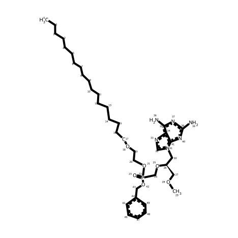 CCCCCCCCCCCCCCCCCCOCCOP(=O)(CO[C@H](COC)Cn1cnc2c(N)nc(N)nc21)OCc1ccccc1